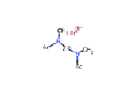 CC(=O)[N](C)[Zr+2][N](C)C(C)=O.[Br-].[Br-]